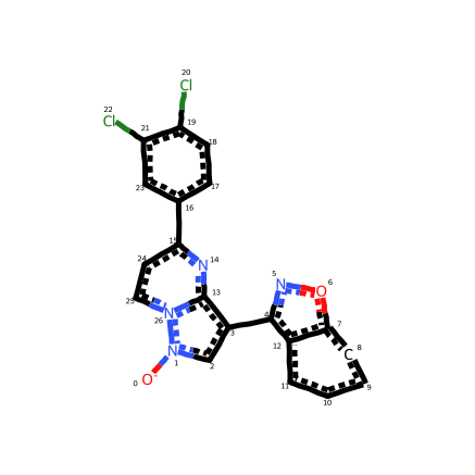 [O-][n+]1cc(-c2noc3ccccc23)c2nc(-c3ccc(Cl)c(Cl)c3)ccn21